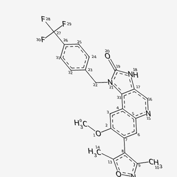 COc1cc2c(cc1-c1c(C)noc1C)ncc1[nH]c(=O)n(Cc3ccc(C(F)(F)F)cc3)c12